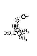 CCOC(=O)c1nc(NCc2cnn(Cc3ccc(F)cc3)c2)nc2c1NC(=O)C(C)N2C